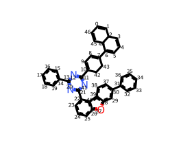 C1=CC2C=CC=C(C3=CC=C(c4nc(-c5ccccc5)nc(-c5cccc6oc7cc(-c8ccccc8)ccc7c56)n4)CC3)C2C=C1